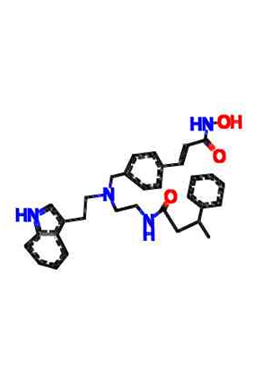 CC(CC(=O)NCCN(CCc1c[nH]c2ccccc12)Cc1ccc(/C=C/C(=O)NO)cc1)c1ccccc1